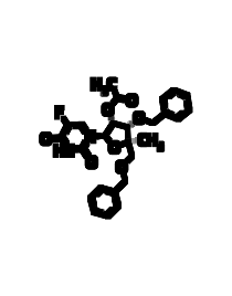 CC(=O)O[C@H]1[C@H](n2cc(F)c(=O)[nH]c2=O)O[C@](C)(COCc2ccccc2)[C@H]1OCc1ccccc1